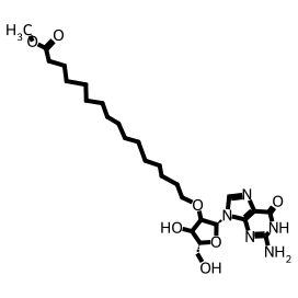 COC(=O)CCCCCCCCCCCCCCCOC1C(O)[C@@H](CO)O[C@H]1n1cnc2c(=O)[nH]c(N)nc21